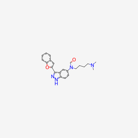 CN(C)CCCCN(C=O)c1ccc2[nH]nc(-c3cc4ccccc4o3)c2c1